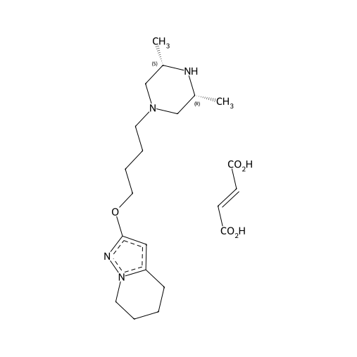 C[C@@H]1CN(CCCCOc2cc3n(n2)CCCC3)C[C@H](C)N1.O=C(O)C=CC(=O)O